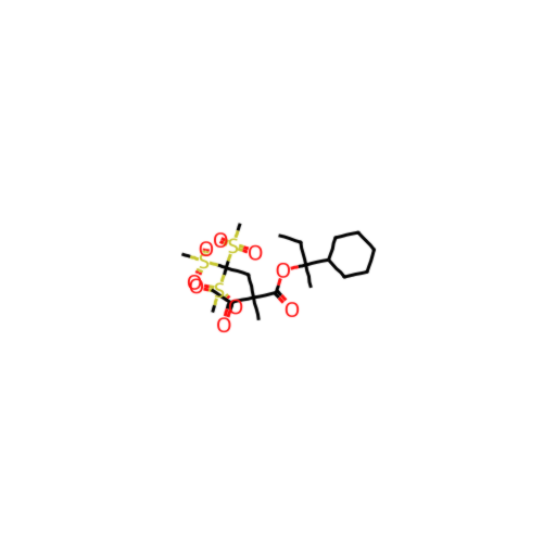 CCC(C)(OC(=O)C(C)(CC(S(C)(=O)=O)(S(C)(=O)=O)S(C)(=O)=O)C(C)=O)C1CCCCC1